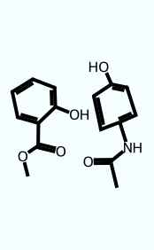 CC(=O)Nc1ccc(O)cc1.COC(=O)c1ccccc1O